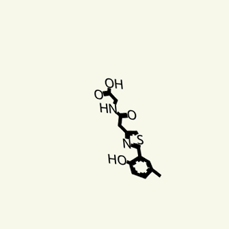 Cc1ccc(O)c(-c2nc(CC(=O)NCC(=O)O)cs2)c1